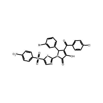 O=C(C1=C(O)C(=O)N(c2ncc(S(=O)(=O)c3ccc([N+](=O)[O-])cc3)s2)C1c1cccc(Br)c1)c1ccc(Cl)cc1